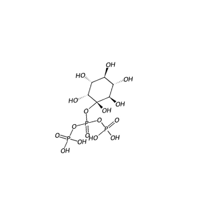 O=P(O)(O)OP(=O)(O[C@]1(O)[C@H](O)[C@H](O)[C@@H](O)[C@H](O)[C@H]1O)OP(=O)(O)O